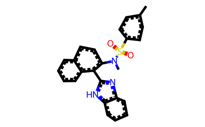 Cc1ccc(S(=O)(=O)N(C)c2ccc3ccccc3c2-c2nc3ccccc3[nH]2)cc1